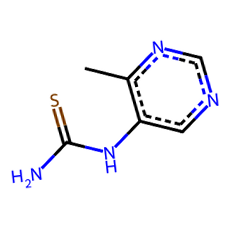 Cc1ncncc1NC(N)=S